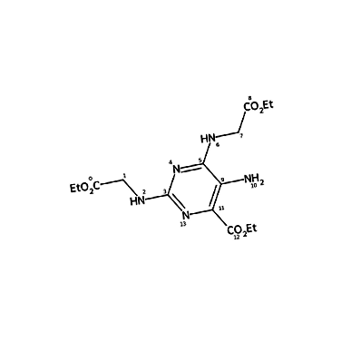 CCOC(=O)CNc1nc(NCC(=O)OCC)c(N)c(C(=O)OCC)n1